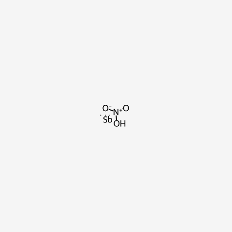 O=[N+]([O-])O.[Sb]